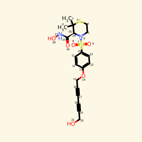 CC1(C)SCCN(S(=O)(=O)c2ccc(OCC#CC#CCO)cc2)[C@H]1C(=O)NO